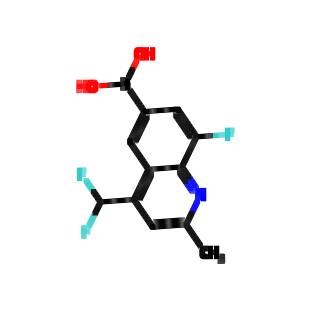 Cc1cc(C(F)F)c2cc(B(O)O)cc(F)c2n1